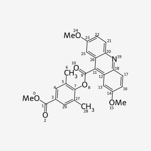 COC(=O)c1cc(C)c(OC(=O)c2c3cc(OC)ccc3nc3ccc(OC)cc23)c(C)c1